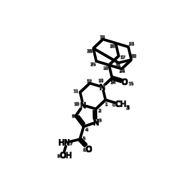 CC1c2nc(C(=O)NO)cn2CCN1C(=O)C12CC3CC(CC(C3)C1)C2